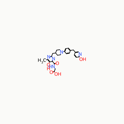 Cc1nc(CC2CCN(c3ccc(Cc4ccc(O)nc4)cc3)CC2)nc(C(=O)NCC(=O)O)c1O